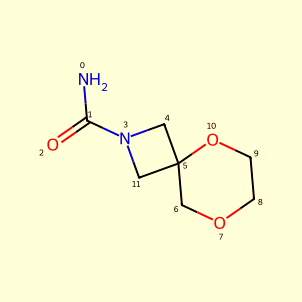 NC(=O)N1CC2(COCCO2)C1